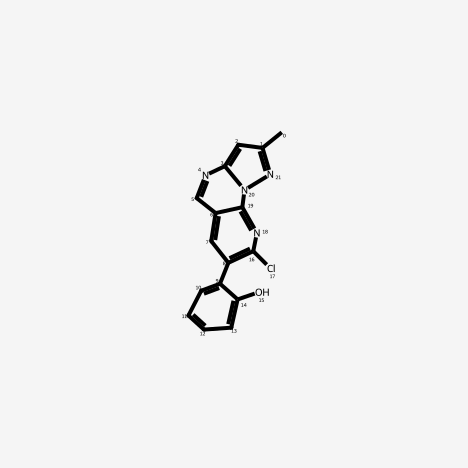 Cc1cc2ncc3cc(-c4ccccc4O)c(Cl)nc3n2n1